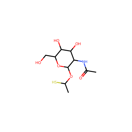 CC(=O)NC1C(OC(C)S)OC(CO)C(O)C1O